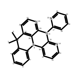 CC1(C)c2ccccc2B2c3cccnc3N(c3ccccn3)c3nccc1c32